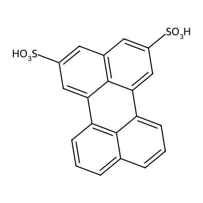 O=S(=O)(O)c1cc2cc(S(=O)(=O)O)cc3c4cccc5cccc(c(c1)c23)c54